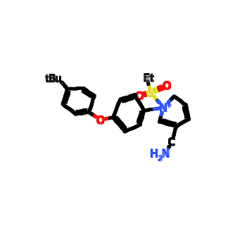 CCS(=O)(=O)[N+]1(c2ccc(Oc3ccc(C(C)(C)C)cc3)cc2)C=C(CN)C=CC1